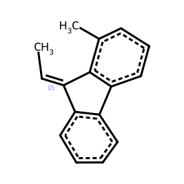 C/C=C1/c2ccccc2-c2cccc(C)c21